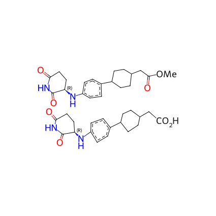 COC(=O)CC1CCC(c2ccc(N[C@@H]3CCC(=O)NC3=O)cc2)CC1.O=C(O)CC1CCC(c2ccc(N[C@@H]3CCC(=O)NC3=O)cc2)CC1